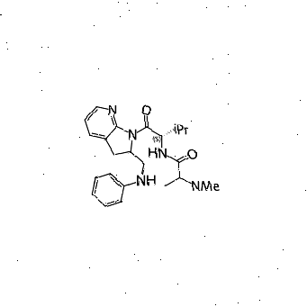 CNC(C)C(=O)N[C@H](C(=O)N1c2ncccc2CC1CNc1ccccc1)C(C)C